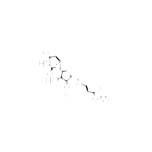 COC(=O)C=COC[C@H]1O[C@@H](n2ccc(=O)[nH]c2=O)[C@H](O)[C@@H]1O